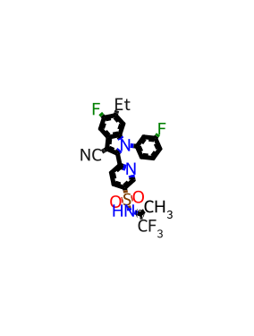 CCc1cc2c(cc1F)c(C#N)c(-c1ccc(S(=O)(=O)N[C@@H](C)C(F)(F)F)cn1)n2-c1cccc(F)c1